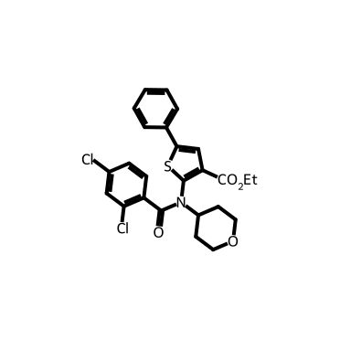 CCOC(=O)c1cc(-c2ccccc2)sc1N(C(=O)c1ccc(Cl)cc1Cl)C1CCOCC1